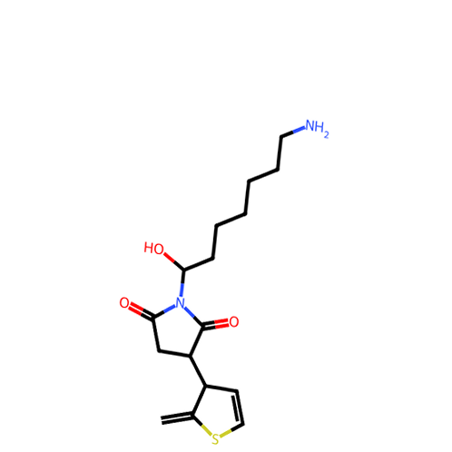 C=C1SC=CC1C1CC(=O)N(C(O)CCCCCCN)C1=O